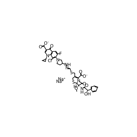 CO[C@]1(NC(=O)[C@H](O)c2ccccc2)C(=O)N2C(C(=O)[O-])=C(CSC=NNC3CCN(c4c(F)cc5c(=O)c(C(=O)[O-])cn(C6CC6)c5c4Cl)C3)CS[C@@H]21.[Na+].[Na+]